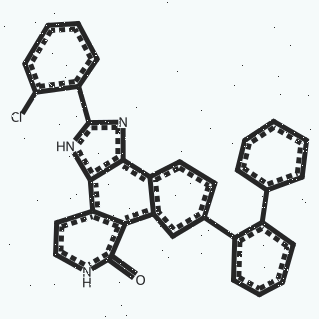 O=c1[nH]ccc2c3[nH]c(-c4ccccc4Cl)nc3c3ccc(-c4ccccc4-c4ccccc4)cc3c12